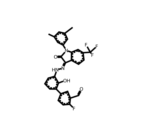 Cc1cc(C)cc(N2C(=O)/C(=N\Nc3cccc(-c4ccc(F)c(C=O)c4)c3O)c3ccc(C(F)(F)F)cc32)c1